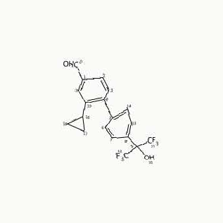 O=Cc1ccc(-c2ccc(C(O)(C(F)(F)F)C(F)(F)F)cc2)c(C2CC2)c1